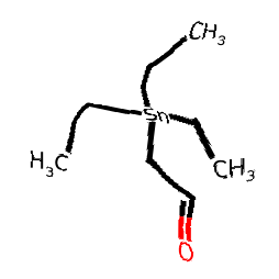 C[CH2][Sn]([CH2]C)([CH2]C)[CH2]C=O